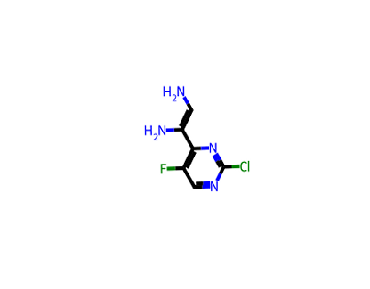 N/C=C(\N)c1nc(Cl)ncc1F